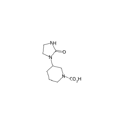 O=C(O)N1CCCC(N2CCNC2=O)C1